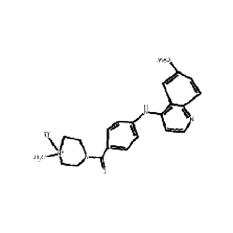 COc1ccc2nccc(Nc3ccc(C(=O)N4CC[N+](C)([O-])CC4)cc3)c2c1